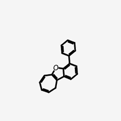 C1=CCc2c(oc3c(-c4ccccc4)cccc23)C=C1